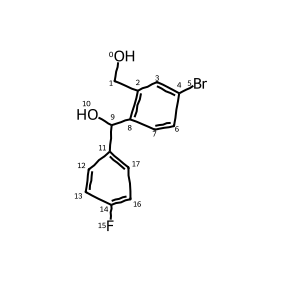 OCc1cc(Br)ccc1C(O)c1ccc(F)cc1